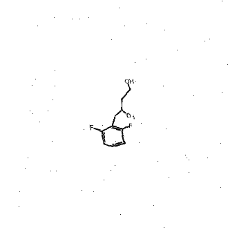 OCCC(O)Cc1c(F)cccc1F